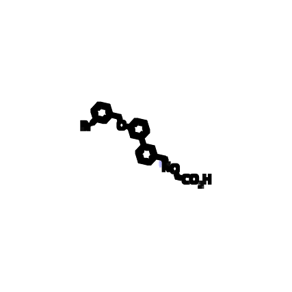 O=C(O)CO/N=C/c1cccc(-c2cccc(OCc3cccc(Br)c3)c2)c1